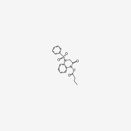 CCCC(=O)ON1C(=O)CN(S(=O)(=O)c2ccccc2)c2ccccc21